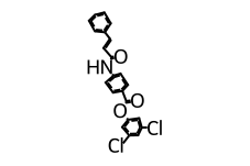 O=C(/C=C/c1ccccc1)Nc1ccc(C(=O)Oc2cc(Cl)cc(Cl)c2)cc1